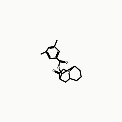 Cc1cc(C)cc(C(=O)OC2C3CC4CCCC2N4CC3=O)c1